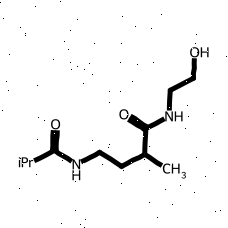 CC(C)C(=O)NCCC(C)C(=O)NCCO